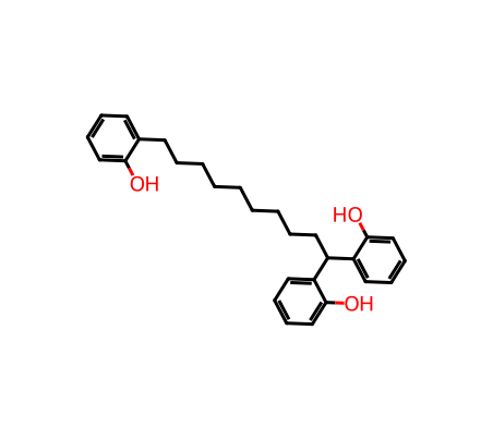 Oc1ccccc1CCCCCCCCCC(c1ccccc1O)c1ccccc1O